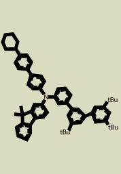 CC(C)(C)c1cc(-c2cccc(N(c3ccc(-c4ccc(C5CCCCC5)cc4)cc3)c3ccc4c(c3)C(C)(C)c3ccccc3-4)c2)cc(-c2cc(C(C)(C)C)cc(C(C)(C)C)c2)c1